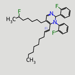 CCCCCCC/C=C/C1=C(CCCCCC(C)F)C=NC(c2ccccc2F)N1c1ccccc1F